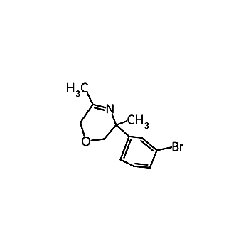 CC1=NC(C)(c2cccc(Br)c2)COC1